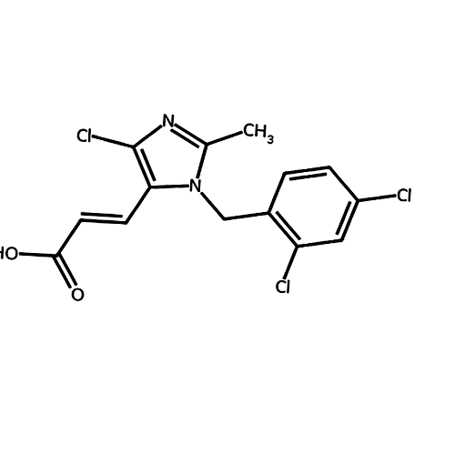 Cc1nc(Cl)c(C=CC(=O)O)n1Cc1ccc(Cl)cc1Cl